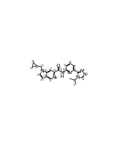 CC(C)n1cnnc1-c1cccc(NC(=O)c2cc3c(ccn3CC3CC3)cn2)n1